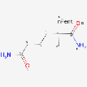 CCCCCC(C)(CCCC(N)=O)C(N)=O